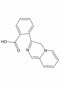 O=C(O)c1ccccc1C1=NC=C2C=CC=CN2C1